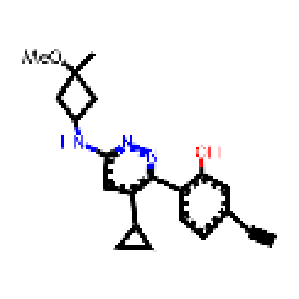 C#Cc1ccc(-c2nnc(NC3CC(C)(OC)C3)cc2C2CC2)c(O)c1